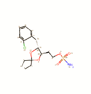 CCC1(CC)O[C@H](CCOS(N)(=O)=O)[C@@H](Cc2ccccc2Cl)O1